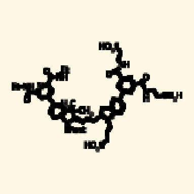 CCCCCN1/C(=C/C=C/C2=[N+](CCCS(=O)(=O)O)c3ccc(-c4cc(C(=O)NCCS(=O)(=O)O)nc(C(=O)NCCS(=O)(=O)O)c4)cc3C2)C(C)(C)c2cc(-c3cc(C(=O)NCC)nc(C(=O)NCC)c3)ccc21